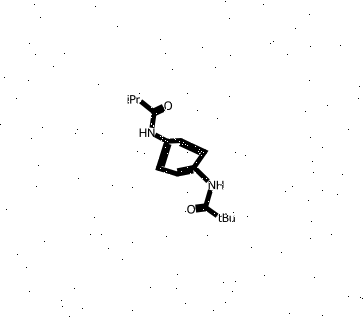 CC(C)C(=O)Nc1ccc(NC(=O)C(C)(C)C)cc1